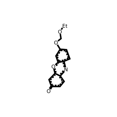 CCOCOc1ccc2nc3ccc(=O)cc-3oc2c1